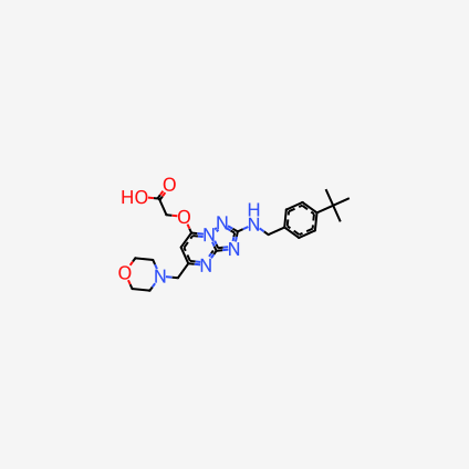 CC(C)(C)c1ccc(CNc2nc3nc(CN4CCOCC4)cc(OCC(=O)O)n3n2)cc1